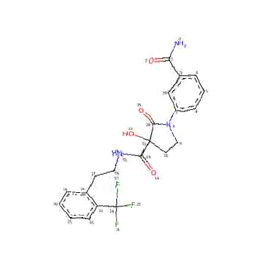 NC(=O)c1cccc(N2CCC(O)(C(=O)NCCc3ccccc3C(F)(F)F)C2=O)c1